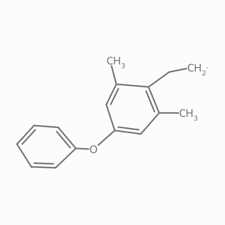 [CH2]Cc1c(C)cc(Oc2ccccc2)cc1C